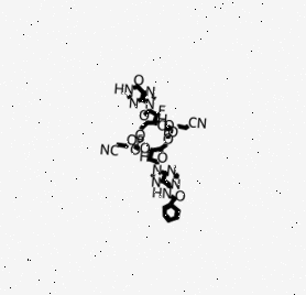 N#CCCOP1(=O)OCC2OC(n3cnc4c(=O)[nH]cnc43)[C@H](F)[C@@H]2OP(=O)(OCCC#N)OCC2OC(n3cnc4c(NC(=O)c5ccccc5)ncnc43)C[C@@H]2O1